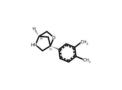 Cc1ccc([C@@]23CN[C@@H](CO2)C3)cc1C